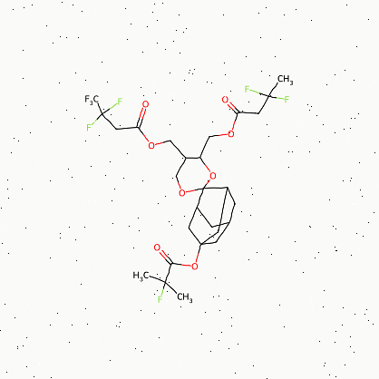 CC(F)(F)CC(=O)OCC1OC2(OCC1COC(=O)CC(F)(F)C(F)(F)F)C1CC3CC2CC(OC(=O)C(C)(C)F)(C3)C1